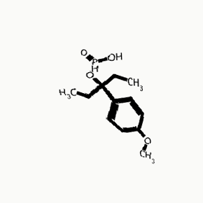 CCC(CC)(O[PH](=O)O)c1ccc(OC)cc1